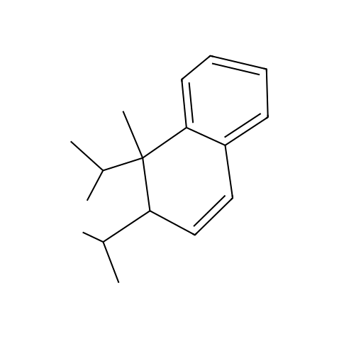 CC(C)C1C=Cc2ccccc2C1(C)C(C)C